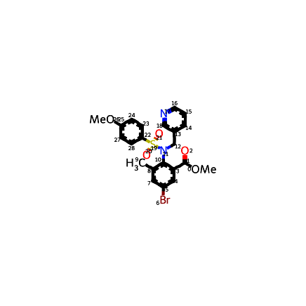 COC(=O)c1cc(Br)cc(C)c1N(Cc1cccnc1)S(=O)(=O)c1ccc(OC)cc1